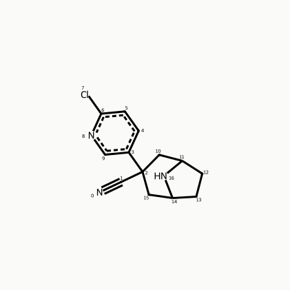 N#CC1(c2ccc(Cl)nc2)CC2CCC(C1)N2